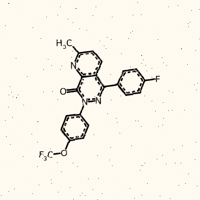 Cc1ccc2c(-c3ccc(F)cc3)nn(-c3ccc(OC(F)(F)F)cc3)c(=O)c2n1